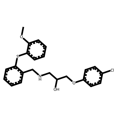 COc1ccccc1Sc1ccccc1CNCC(O)COc1ccc(Cl)cc1